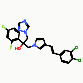 OC(Cn1ccc(C=Cc2ccc(Cl)c(Cl)c2)c1)(Cn1cncn1)c1ccc(F)cc1F